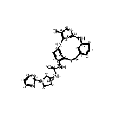 O=C(Nc1ccc2cc1CCc1cccc(c1)Nc1ncc(Cl)c(n1)N2)N[C@H]1CCN(c2ncccn2)C1